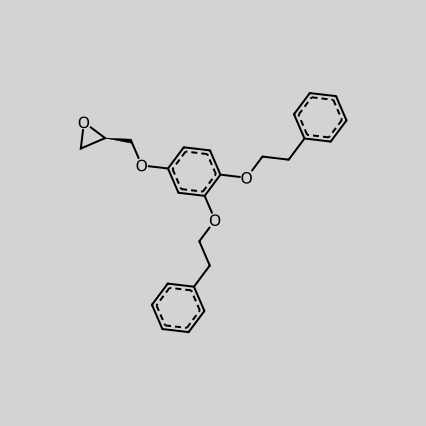 c1ccc(CCOc2ccc(OC[C@H]3CO3)cc2OCCc2ccccc2)cc1